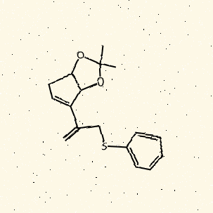 C=C(CSc1ccccc1)C1=CCC2OC(C)(C)OC12